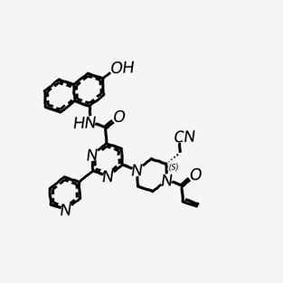 C=CC(=O)N1CCN(c2cc(C(=O)Nc3cc(O)cc4ccccc34)nc(-c3cccnc3)n2)C[C@@H]1CC#N